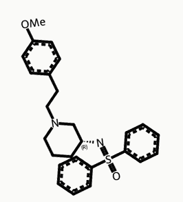 COc1ccc(CCN2CCC[C@@H](N=S(=O)(c3ccccc3)c3ccccc3)C2)cc1